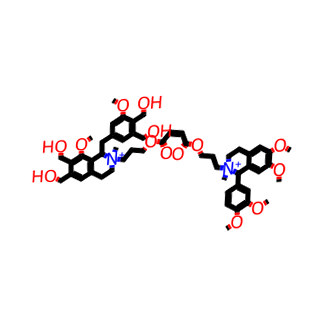 COc1ccc(C2c3cc(OC)c(OC)cc3CC[N+]2(C)CCCOC(=O)/C=C\C(=O)OCCC[N+]2(C)CCc3cc(CO)c(CO)c(OC)c3C2Cc2cc(CO)c(CO)c(OC)c2)cc1OC